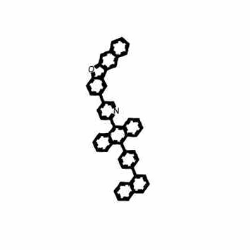 c1ccc2cc3c(cc2c1)oc1ccc(-c2ccc(-c4c5ccccc5c(-c5ccc(-c6cccc7ccccc67)cc5)c5ccccc45)nc2)cc13